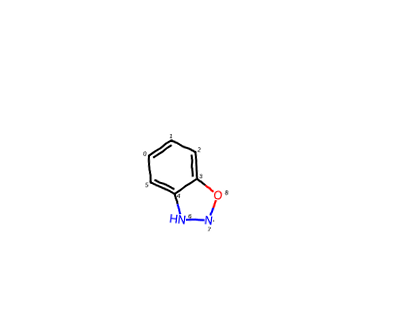 c1ccc2c(c1)N[N]O2